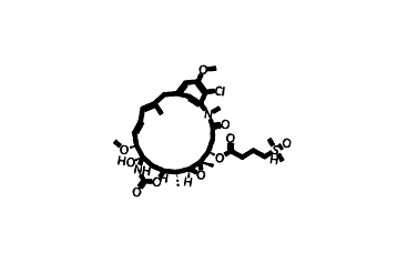 COc1cc2cc(c1Cl)N(C)C(=O)C[C@H](OC(=O)CCC[SH](C)(C)=O)[C@]1(C)O[C@H]1[C@H](C)[C@@H]1C[C@@](O)(NC(=O)O1)[C@H](OC)/C=C/C=C(\C)C2